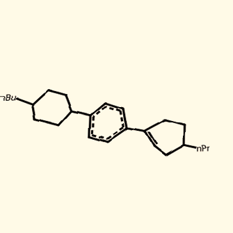 CCCCC1CCC(c2ccc(C3=CCC(CCC)CC3)cc2)CC1